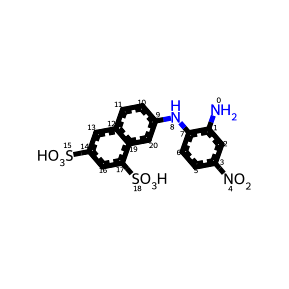 Nc1cc([N+](=O)[O-])ccc1Nc1ccc2cc(S(=O)(=O)O)cc(S(=O)(=O)O)c2c1